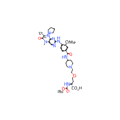 CC[C@@H]1C(=O)N(C)c2cnc(Nc3ccc(C(=O)NC4CCN(CCOCC[C@@H](NC(=O)OC(C)(C)C)C(=O)O)CC4)cc3OC)nc2N1N1CCCC1